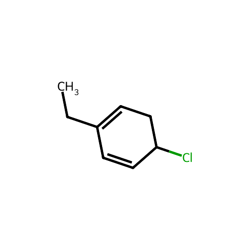 CCC1=CCC(Cl)C=C1